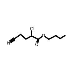 CCCCOC(=O)C(Cl)CCC#N